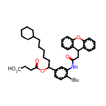 CC(C)(C)c1ccc(C(CCCCCC2CCCCC2)OC(=O)CCC(=O)O)cc1NC(=O)CC1c2ccccc2Oc2ccccc21